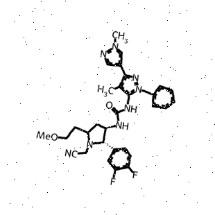 COCCC1C[C@@H](NC(=O)Nc2c(C)c(-c3cnn(C)c3)nn2-c2ccccc2)[C@H](c2ccc(F)c(F)c2)N1CC#N